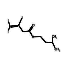 CC(C)CCOC(=O)CC(I)=C(I)I